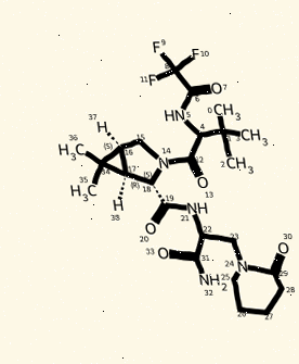 CC(C)(C)C(NC(=O)C(F)(F)F)C(=O)N1C[C@H]2[C@@H]([C@H]1C(=O)NC(CN1CCCCC1=O)C(N)=O)C2(C)C